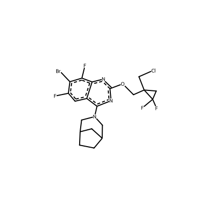 Fc1cc2c(N3CC4CCC(C4)C3)nc(OCC3(CCl)CC3(F)F)nc2c(F)c1Br